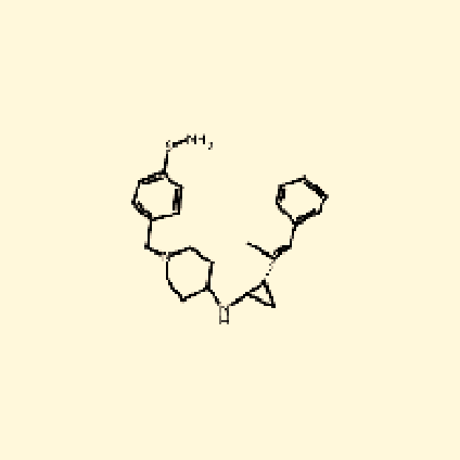 C/C(=C\c1ccccc1)[C@@H]1CC1NC1CCN(Cc2ccc(SN)cc2)CC1